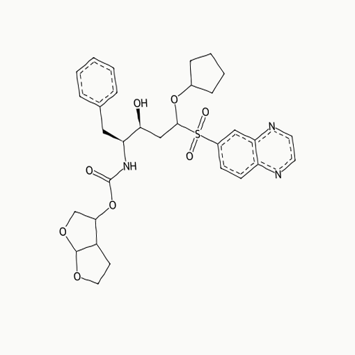 O=C(N[C@@H](Cc1ccccc1)[C@@H](O)CC(OC1CCCC1)S(=O)(=O)c1ccc2nccnc2c1)OC1COC2OCCC12